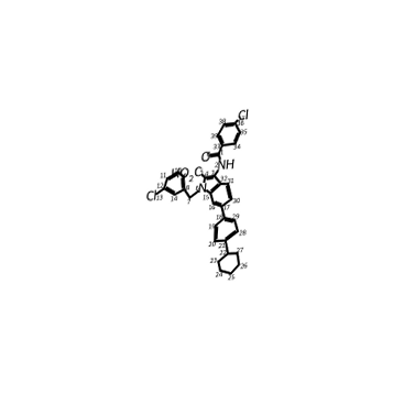 O=C(Nc1c(C(=O)O)n(Cc2cccc(Cl)c2)c2cc(-c3ccc(C4CCCCC4)cc3)ccc12)c1ccc(Cl)cc1